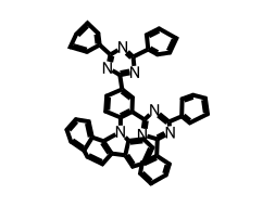 c1ccc(-c2nc(-c3ccccc3)nc(-c3ccc(-n4c5ccccc5c5ccc6ccccc6c54)c(-c4nc(-c5ccccc5)nc(-c5ccccc5)n4)c3)n2)cc1